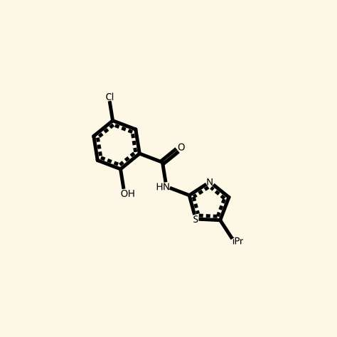 CC(C)c1cnc(NC(=O)c2cc(Cl)ccc2O)s1